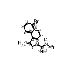 CC(C)NC(=N)N1CC(C)c2c1ccc1c(Br)cccc21